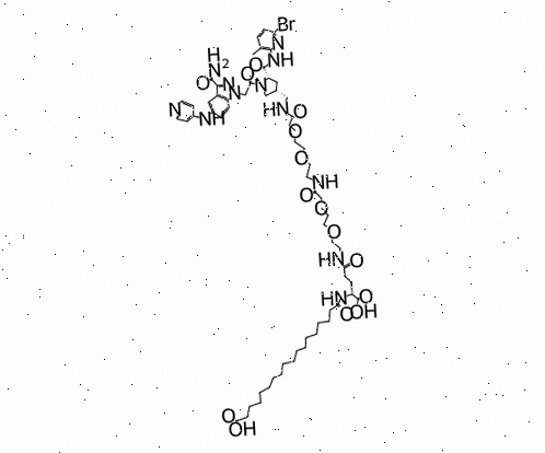 Cc1ccc(Br)nc1NC(=O)[C@@H]1C[C@H](CNC(=O)COCCOCCNC(=O)COCCOCCNC(=O)CC[C@H](NC(=O)CCCCCCCCCCCCCCCCC(=O)O)C(=O)O)CN1C(=O)Cn1nc(C(N)=O)c2cc(Nc3ccncc3)ccc21